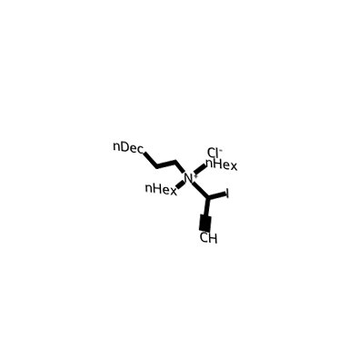 C#CC(I)[N+](CCCCCC)(CCCCCC)CCCCCCCCCCCC.[Cl-]